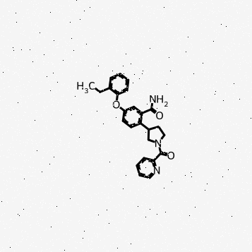 CCc1ccccc1Oc1ccc(C2CCN(C(=O)c3ccccn3)C2)c(C(N)=O)c1